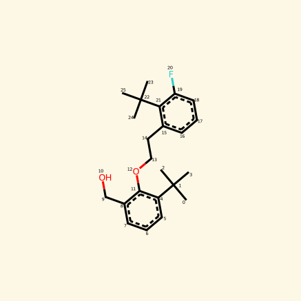 CC(C)(C)c1cccc(CO)c1OCCc1cccc(F)c1C(C)(C)C